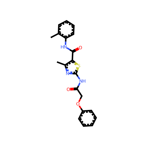 Cc1ccccc1NC(=O)c1sc(NC(=O)COc2ccccc2)nc1C